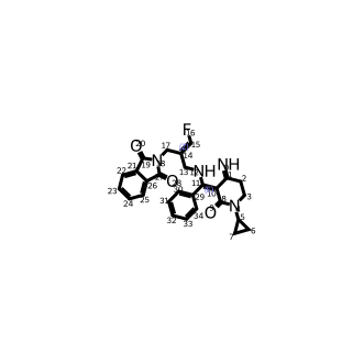 N=C1CCN(C2CC2)C(=O)/C1=C(/NC/C(=C/F)CN1C(=O)c2ccccc2C1=O)c1ccccc1